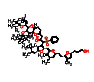 C=C1C(C[C@@H]2O[C@H](C[C@H](C)CC)[C@H](C)[C@H]2C(C(O)CC2CC[C@@H]3O[C@@H]([C@H](/C=C/I)O[Si](C)(C)C(C)(C)C)[C@@H](O[Si](C)(C)C(C)(C)C)[C@@H](C)[C@H]3O2)S(=O)(=O)c2ccccc2)OC(CC[C@@H]2O[C@@H](CCCO)CC2=C)C[C@H]1C